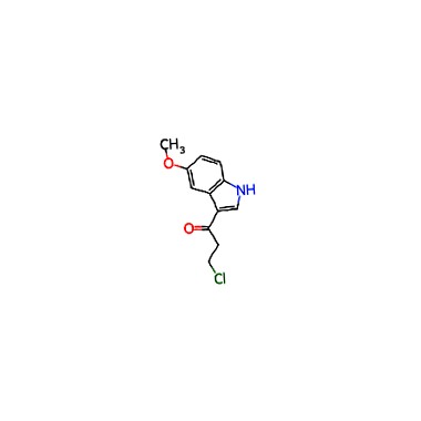 COc1ccc2[nH]cc(C(=O)CCCl)c2c1